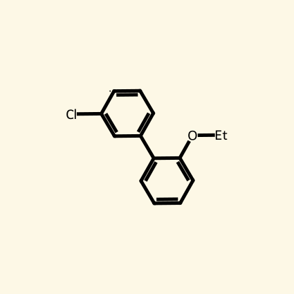 CCOc1ccccc1-c1cc[c]c(Cl)c1